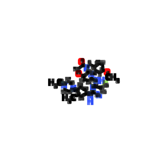 COc1ccc(CN2C(=O)COc3ccc(Nc4nc(Nc5ccc(N6CCN(C)CC6)c(C)c5)ncc4F)nc32)cc1